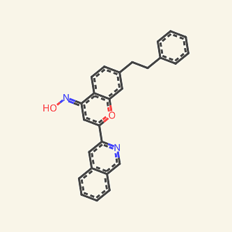 ON=c1cc(-c2cc3ccccc3cn2)oc2cc(CCc3ccccc3)ccc12